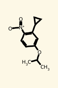 CC(C)Oc1ccc([N+](=O)[O-])c(C2CC2)c1